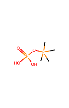 CP(C)(C)(C)OP(=O)(O)O